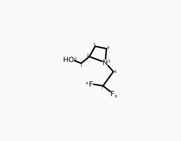 OCC1CCN1CC(F)F